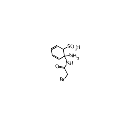 NC1(NC(=O)CBr)C=CC=CC1S(=O)(=O)O